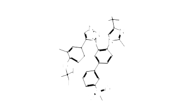 CC1=CC(c2cnnn2-c2cc(-c3cccc(S(C)(=O)=O)c3)ccc2-n2cc(C(F)(F)F)nc2C)CC=C1OC(F)(F)F